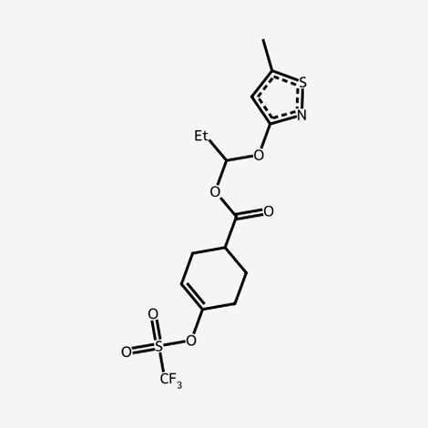 CCC(OC(=O)C1CC=C(OS(=O)(=O)C(F)(F)F)CC1)Oc1cc(C)sn1